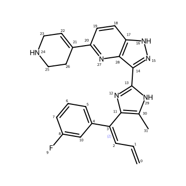 C=C/C=C(/c1cccc(F)c1)c1nc(-c2n[nH]c3ccc(C4=CCNCC4)nc23)[nH]c1C